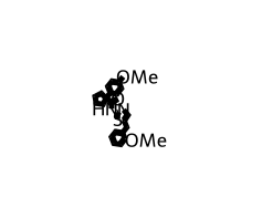 COc1ccc(C2(C(=O)Nc3ncc(Cc4ccccc4OC)s3)CCCC2)cc1